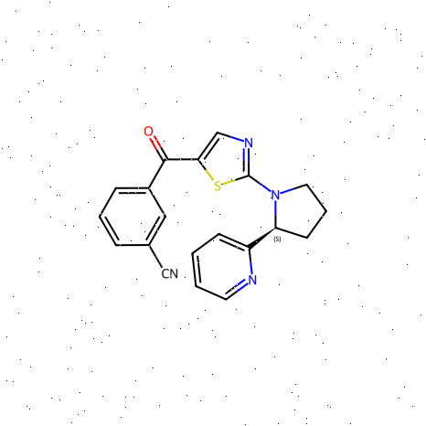 N#Cc1cccc(C(=O)c2cnc(N3CCC[C@H]3c3ccccn3)s2)c1